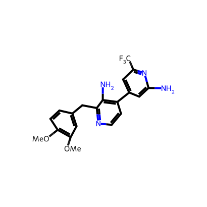 COc1ccc(Cc2nccc(-c3cc(N)nc(C(F)(F)F)c3)c2N)cc1OC